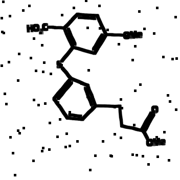 COC(=O)CCc1cccc(Sc2cc(OC)ccc2C(=O)O)c1